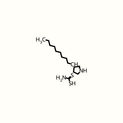 C1CCNC1.CCCCCCCCCC.NC(=S)S